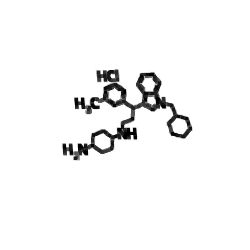 Cc1cccc(C(CCNC2CCC(N)CC2)c2cn(CC3CCCCC3)c3ccccc23)c1.Cl